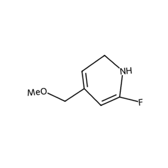 COCC1=CCNC(F)=C1